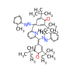 Cc1ccccc1/N=N/C(=C1C=C(C(C)(C)C)C(=O)C(C(C)(C)C)=C1)c1cccc(C(/N=N/c2ccccc2C)=C2C=C(C(C)(C)C)C(=O)C(C(C)(C)C)=C2)n1